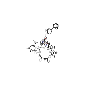 CC[C@H]1OC(=O)[C@H](C)C(=O)[C@H](C)[C@@H](O[C@H]2C[C@@H](N(C)C)C[C@@H](C)O2)[C@]2(C)OC23C/C(=N/OCc2ccc(-c4ccno4)cn2)CC[C@H]([C@@H](C)/C(=N/C(C)=O)[C@@H]3C)[C@]1(C)O